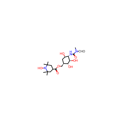 CN(C=O)C(=O)N[C@@H]1[C@@H](O)[C@H](O)[C@@H](COC(=O)C2CC(C)(C)N(O)C(C)(C)C2)C[C@H]1O